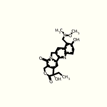 CC[C@@]1(O)C(=O)OCc2c1cc1n(c2=O)Cc2cc3c(CN(C)OC)c(O)ccc3nc2-1